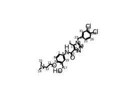 Cc1c(C(=O)Nc2ccc(OCCN(C)C)c(CO)c2)nnn1Cc1ccc(Cl)c(Cl)c1